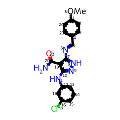 COc1ccc(C=Nc2[nH]nc(Nc3cccc(Cl)c3)c2C(N)=O)cc1